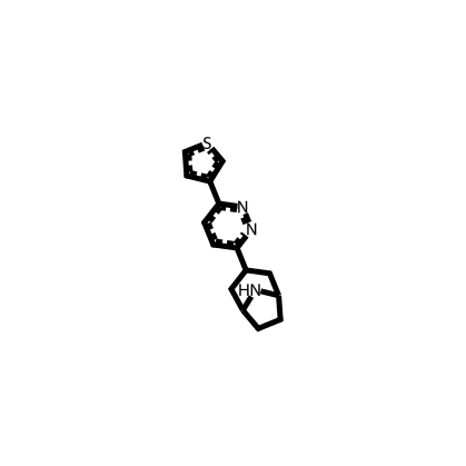 c1cc(-c2ccc(C3CC4CCC(C3)N4)nn2)cs1